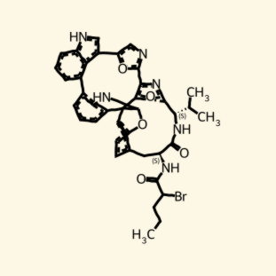 CCCC(Br)C(=O)N[C@H]1Cc2ccc3c(c2)C24c5cccc(c5NC2O3)-c2cccc3[nH]cc(c23)-c2cnc(o2)-c2nc(oc24)[C@H](C(C)C)NC1=O